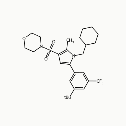 Cc1c(S(=O)(=O)N2CCOCC2)cc(-c2cc(C(C)(C)C)cc(C(F)(F)F)c2)n1CC1CCCCC1